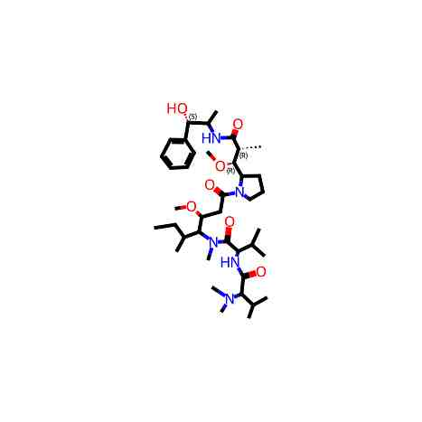 CCC(C)C(C(CC(=O)N1CCCC1[C@H](OC)[C@@H](C)C(=O)NC(C)[C@@H](O)c1ccccc1)OC)N(C)C(=O)C(NC(=O)C(C(C)C)N(C)C)C(C)C